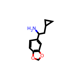 NC(CC1CC1)c1ccc2c(c1)OCO2